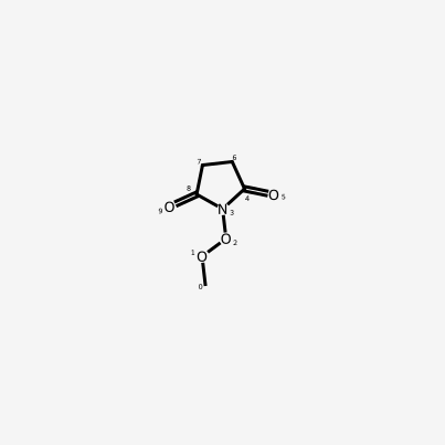 COON1C(=O)CCC1=O